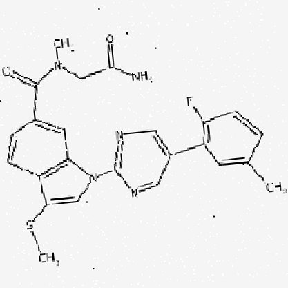 CSc1cn(-c2ncc(-c3cc(C)ccc3F)cn2)c2cc(C(=O)N(C)CC(N)=O)ccc12